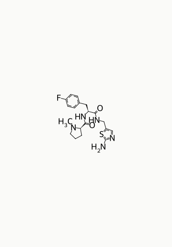 CN1CCC[C@@H]1C(=O)N[C@@H](Cc1ccc(F)cc1)C(=O)NCc1cnc(N)s1